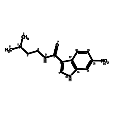 CN(C)CCNC(=O)c1c[nH]c2cc([N+](=O)[O-])ccc12